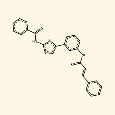 O=C(C=Cc1ccccc1)Nc1cccc(-n2cnc(NC(=O)c3ccccc3)n2)c1